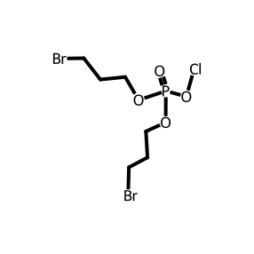 O=P(OCl)(OCCCBr)OCCCBr